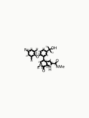 CNC(=O)c1cc2c(-c3cc(C(C)(C)O)ccc3Oc3c(C)cc(F)cc3C)cn(C)c(=O)c2[nH]1